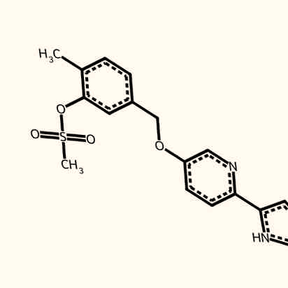 Cc1ccc(COc2ccc(-c3ccn[nH]3)nc2)cc1OS(C)(=O)=O